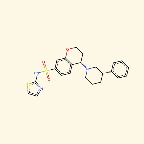 O=S(=O)(Nc1nccs1)c1ccc2c(c1)OCC[C@H]2N1CCC[C@@H](c2ccccc2)C1